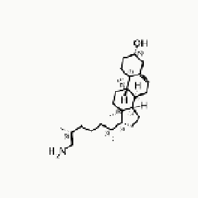 C[C@@H](CN)CCC[C@@H](C)[C@H]1CC[C@H]2[C@@H]3CC=C4C[C@@H](O)CC[C@]4(C)[C@H]3CC[C@]12C